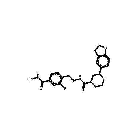 NNC(=O)c1ccc(CSNC(=O)N2CCOC(c3ccc4c(c3)CCO4)C2)c(F)c1